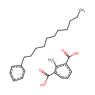 CCCCCCCCCCCc1ccccc1.Cc1c(C(=O)O)cccc1C(=O)O